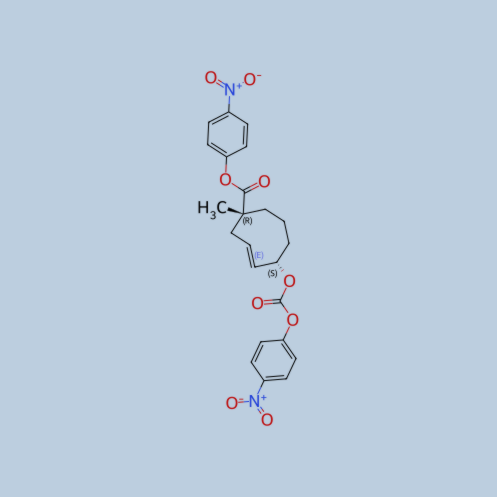 C[C@]1(C(=O)Oc2ccc([N+](=O)[O-])cc2)C/C=C/[C@@H](OC(=O)Oc2ccc([N+](=O)[O-])cc2)CCC1